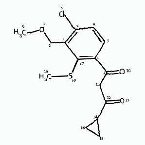 COCc1c(Cl)ccc(C(=O)CC(=O)C2CC2)c1SC